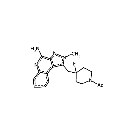 CC(=O)N1CCC(F)(Cc2c3c(nn2C)c(N)nc2ccccc23)CC1